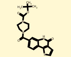 CC(C)(C)OC(=O)N1CCN(C(=O)c2ccc3c(c2)[nH]c(=O)c2ccsc23)CC1